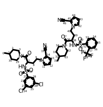 CC1CCN(C(=O)C(CCn2cccc2C#N)NS(=O)(=O)c2cc(Cl)cc(Cl)c2)CC1.CC1CCN(C(=O)C(CCn2cccc2C#N)NS(=O)(=O)c2ccccc2C(F)(F)F)CC1